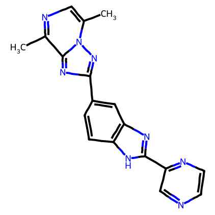 Cc1ncc(C)n2nc(-c3ccc4[nH]c(-c5cnccn5)nc4c3)nc12